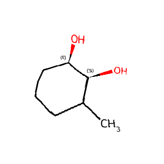 CC1CCC[C@@H](O)[C@H]1O